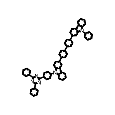 c1ccc(-c2nc(-c3ccccc3)nc(-c3ccc(-n4c5ccccc5c5cc(-c6ccc(-c7ccc(-c8ccc9c%10ccccc%10n(-c%10ccccc%10)c9c8)cc7)cc6)ccc54)cc3)n2)cc1